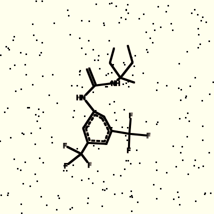 C=C(Nc1cc(C(F)(F)F)cc(C(F)(F)F)c1)NC(C)(CC)CC